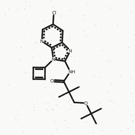 CC(C)(C)OCC(C)(C)C(=O)Nc1nc2cc(Cl)cnc2n1C1=CC=C1